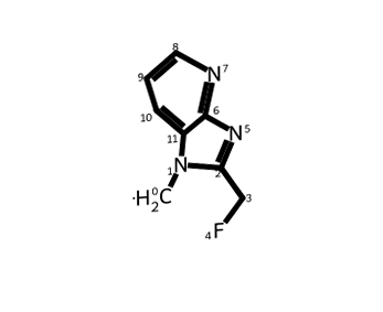 [CH2]n1c(CF)nc2ncccc21